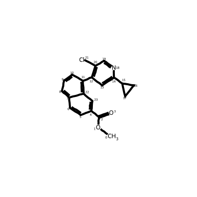 COC(=O)c1ccc2cccc(-c3cc(C4CC4)ncc3Cl)c2c1